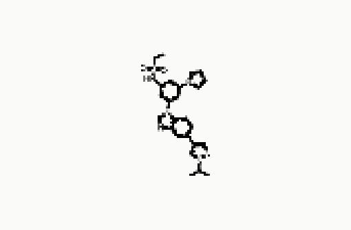 CCS(=O)(=O)Nc1cc(-n2cccc2)cc(-n2cnc3cc(-c4cnn(C(C)C)c4)ccc32)c1